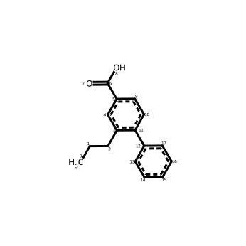 CCCc1cc(C(=O)O)ccc1-c1ccccc1